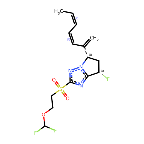 C=C(/C=C\C=C/C)[C@@H]1C[C@H](F)c2nc(S(=O)(=O)CCOC(F)F)nn21